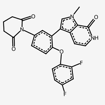 Cn1cc(-c2cc(N3C(=O)CCCC3=O)ccc2Oc2ccc(F)cc2F)c2cc[nH]c(=O)c21